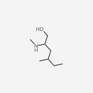 CCC(C)CC(CO)NC